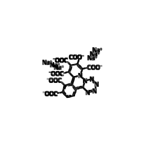 O=C([O-])C1=C(C(=O)[O-])C2=c3c(C(=O)[O-])c(C(=O)[O-])ccc3=C3N=NN=NN3N2C(C(=O)[O-])=C1C(=O)[O-].[Na+].[Na+].[Na+].[Na+].[Na+].[Na+]